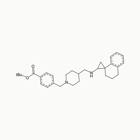 CC(C)(C)OC(=O)c1ccc(CN2CCC(CNC3CC34CCCc3ccccc34)CC2)cc1